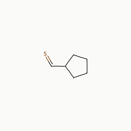 S=CC1[CH]CCC1